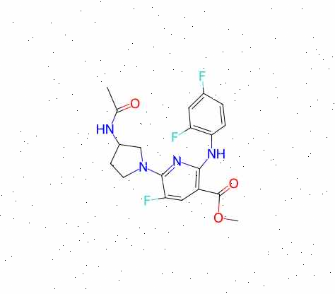 COC(=O)c1cc(F)c(N2CCC(NC(C)=O)C2)nc1Nc1ccc(F)cc1F